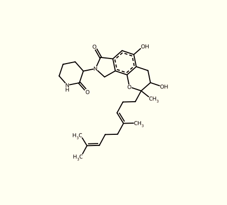 CC(C)=CCC/C(C)=C/CCC1(C)Oc2c(c(O)cc3c2CN(C2CCCNC2=O)C3=O)CC1O